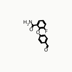 NC(=O)c1cccc(F)c1Oc1ccc(C=O)cc1